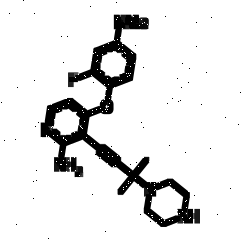 CNc1ccc(Oc2ccnc(N)c2C#CC(C)(C)N2CCNCC2)c(F)c1